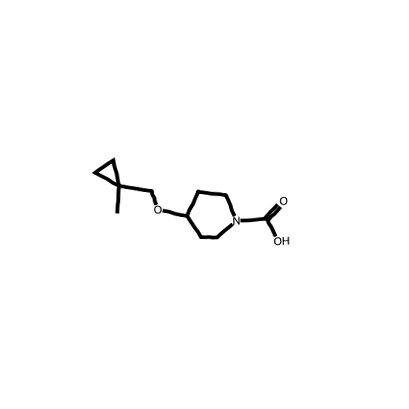 CC1(COC2CCN(C(=O)O)CC2)CC1